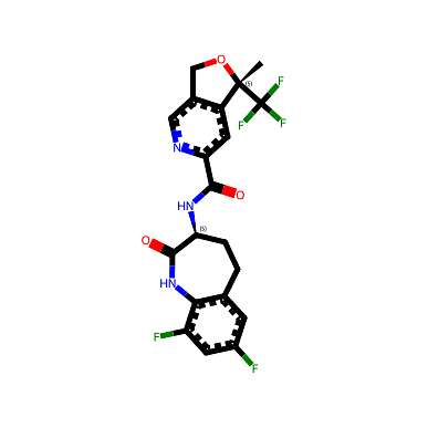 C[C@]1(C(F)(F)F)OCc2cnc(C(=O)N[C@H]3CCc4cc(F)cc(F)c4NC3=O)cc21